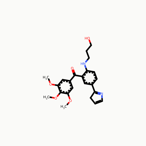 COc1cc(C(=O)c2cc(C3=NC=CC3)ccc2NCCCO)cc(OC)c1OC